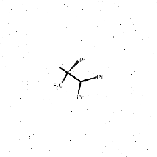 CC(C)C(C(C)C)[C@](C)(C(C)C)C(F)(F)F